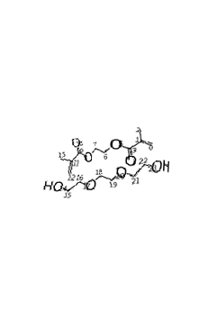 C=C(C)C(=O)OCCOC(=O)C(=C)C.OCCOCCOCCO